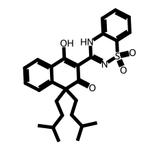 CC(C)CCC1(CCC(C)C)C(=O)C(C2=NS(=O)(=O)c3ccccc3N2)=C(O)c2ccccc21